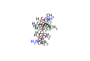 CC(CC(C)(C)OCC(C)C(C)(C)C(C)(C)OCCC(C)(C)C(C)(C)OCC(C)C(C)(C)N)NCCC(C)C(F)(F)C(C)(C)F